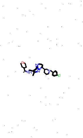 Cc1nn2c(C3CCCN(Cc4ccc(Cl)cc4)C3)ccnc2c1CN[C@@H](C)C1CCOCC1